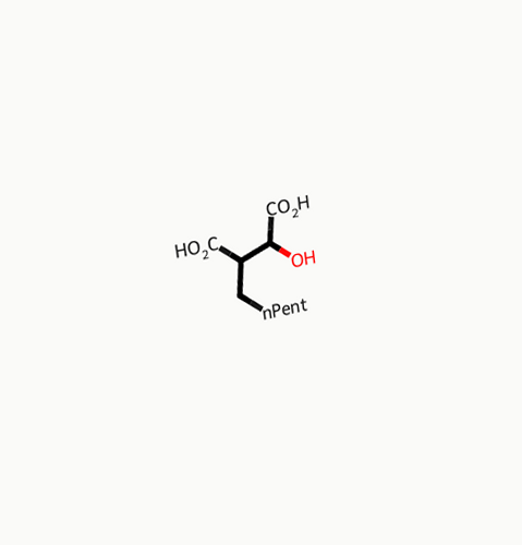 CCCCCCC(C(=O)O)C(O)C(=O)O